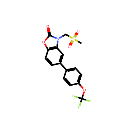 CS(=O)(=O)Cn1c(=O)oc2ccc(-c3ccc(OC(F)(F)F)cc3)cc21